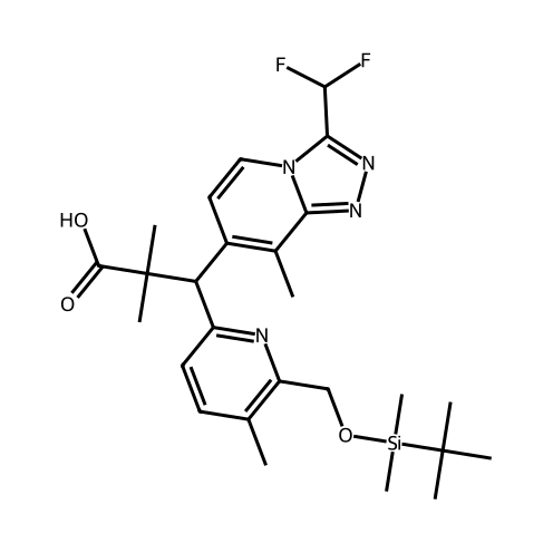 Cc1ccc(C(c2ccn3c(C(F)F)nnc3c2C)C(C)(C)C(=O)O)nc1CO[Si](C)(C)C(C)(C)C